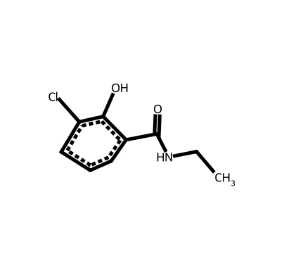 CCNC(=O)c1cccc(Cl)c1O